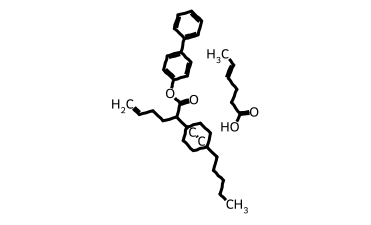 C/C=C/CCC(=O)O.C=CCCC(C(=O)Oc1ccc(-c2ccccc2)cc1)C12CCC(CCCCC)(CC1)CC2